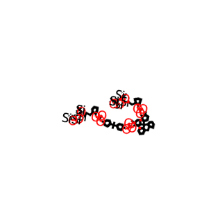 Cc1ccc(C2(c3ccc(C)c(OC(=O)Oc4ccccc4CCC[Si](C)(O[Si](C)(C)C)O[Si](C)(C)O[Si](C)(C)C)c3)c3ccccc3Cc3ccccc32)cc1OC(=O)Oc1ccc(C(C)(C)c2ccc(OC(=O)Oc3ccccc3CCC[Si](C)(O[Si](C)(C)C)O[Si](C)(C)O[Si](C)(C)C)cc2)cc1